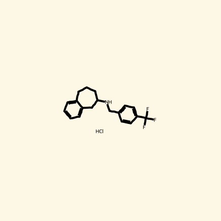 Cl.FC(F)(F)c1ccc(CNC2CCCc3ccccc3C2)cc1